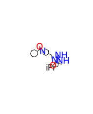 CC(C)CC1(C)NC(=N)N(CCC2CCN(C(=O)C3CCCCCC3)CC2)C1=O